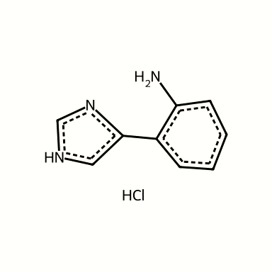 Cl.Nc1ccccc1-c1c[nH]cn1